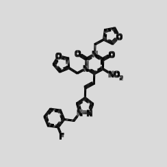 O=c1c([N+](=O)[O-])c(C=Cc2cnn(Cc3ccccc3F)c2)n(Cc2ccoc2)c(=O)n1Cc1ccoc1